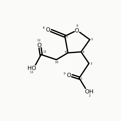 O=C(O)CC1COC(=O)C1CC(=O)O